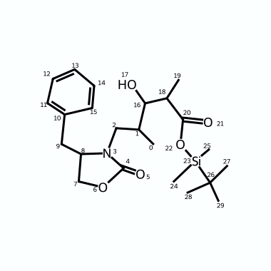 CC(CN1C(=O)OCC1Cc1ccccc1)C(O)C(C)C(=O)O[Si](C)(C)C(C)(C)C